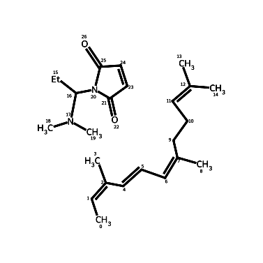 CC=C(C)C=CC=C(C)CCC=C(C)C.CCC(N(C)C)N1C(=O)C=CC1=O